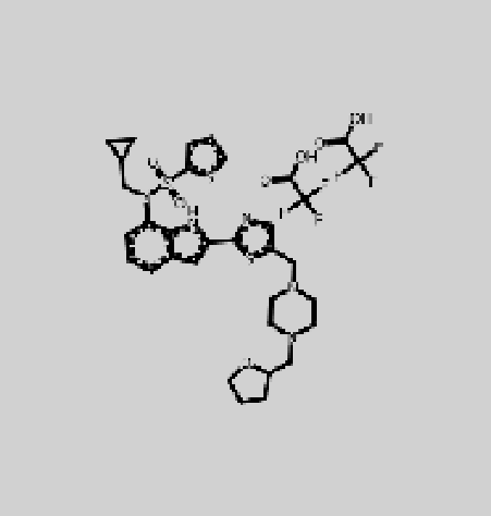 O=C(O)C(F)(F)F.O=C(O)C(F)(F)F.O=S(=O)(c1cccs1)N(CC1CC1)c1cccc2cc(-c3ncc(CN4CCN(CC5CCCO5)CC4)s3)[nH]c12